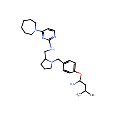 CC(C)CC(N)Oc1ccc(CN2CCCC2CNc2nccc(N3CCCCCC3)n2)cc1